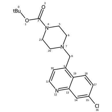 CC(C)(C)OC(=O)N1CCN(Cc2ccnc3cc(Cl)ccc23)CC1